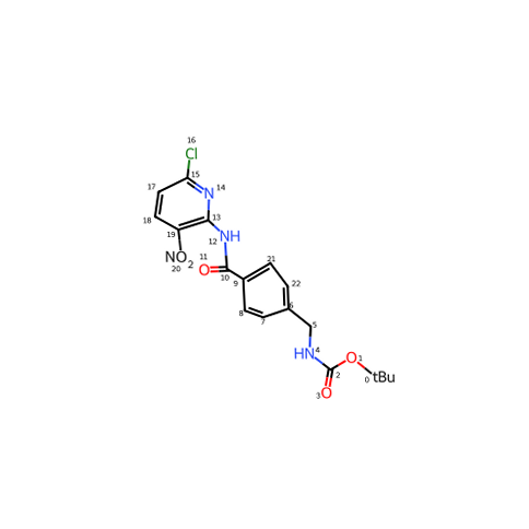 CC(C)(C)OC(=O)NCc1ccc(C(=O)Nc2nc(Cl)ccc2[N+](=O)[O-])cc1